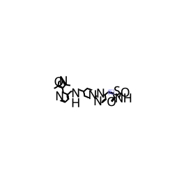 Cc1noc(C)c1-c1ncccc1CNCC1CCN(c2nccc(/C=C3/SC(=O)NC3=O)n2)CC1